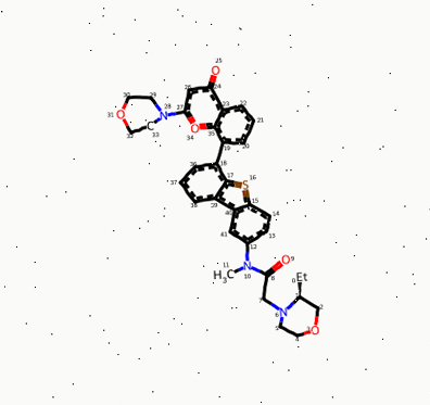 CC[C@H]1COCCN1CC(=O)N(C)c1ccc2sc3c(-c4cccc5c(=O)cc(N6CCOCC6)oc45)cccc3c2c1